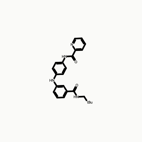 CC(C)(C)CNC(=O)c1cccc(Nc2ccc(NC(=O)c3ccccn3)cc2)c1